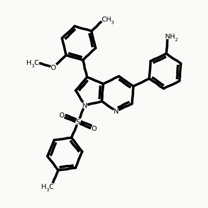 COc1ccc(C)cc1-c1cn(S(=O)(=O)c2ccc(C)cc2)c2ncc(-c3cccc(N)c3)cc12